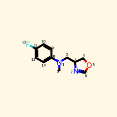 CN(CC1CO[C]=N1)c1ccc(F)cc1